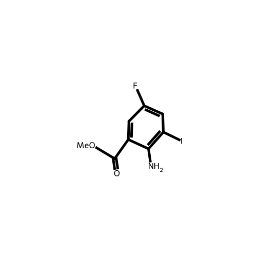 COC(=O)c1cc(F)cc(I)c1N